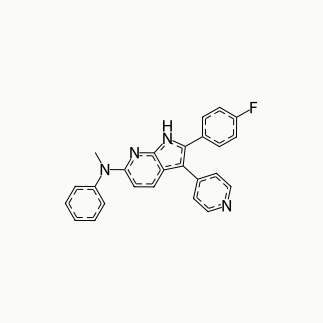 CN(c1ccccc1)c1ccc2c(-c3ccncc3)c(-c3ccc(F)cc3)[nH]c2n1